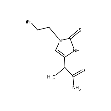 CC(C)CCn1cc(C(C)C(N)=O)[nH]c1=S